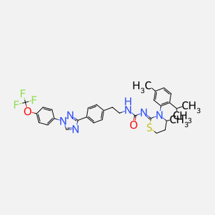 Cc1ccc(C(C)C)c(N2/C(=N/C(=O)NCCc3ccc(-c4ncn(-c5ccc(OC(F)(F)F)cc5)n4)cc3)SCCC2C)c1